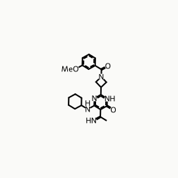 COc1cccc(C(=O)N2CC(c3nc(NC4CCCCC4)c(C(C)=N)c(=O)[nH]3)C2)c1